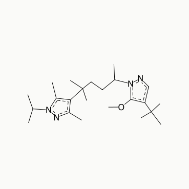 COc1c(C(C)(C)C)cnn1C(C)CCC(C)(C)c1c(C)nn(C(C)C)c1C